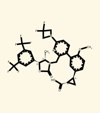 COc1ccc([C@H]2C[C@@H]2C(=O)O)cc1-c1ccc(N2CC(F)(F)C2)nc1CN1C(=O)O[C@H](c2cc(C(F)(F)F)cc(C(F)(F)F)c2)[C@@H]1C